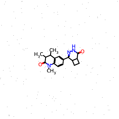 CC1C(=O)N(C)c2ccc(C3=NNC(=O)C4CCC34)cc2C1C